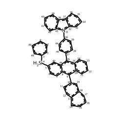 c1ccc([SiH2]c2ccc3c(-c4ccc5ccccc5c4)c4ccccc4c(-c4ccc(-n5c6ccccc6c6ccccc65)cc4)c3c2)cc1